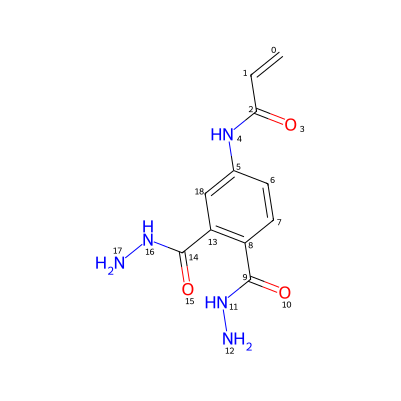 C=CC(=O)Nc1ccc(C(=O)NN)c(C(=O)NN)c1